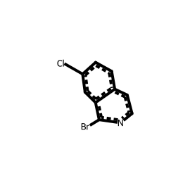 Clc1ccc2ccnc(Br)c2c1